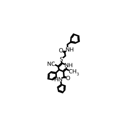 CC1=C(C(=O)Nc2ccccc2)C(c2ccccc2)C(C#N)=C(SCC(=O)NCc2ccccc2)N1